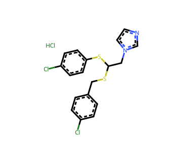 Cl.Clc1ccc(CSC(Cn2ccnc2)Sc2ccc(Cl)cc2)cc1